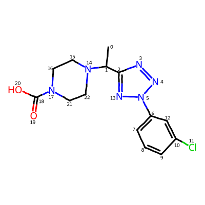 CC(c1nnn(-c2cccc(Cl)c2)n1)N1CCN(C(=O)O)CC1